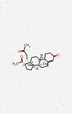 CC(=O)CC[C@]12CC[C@H]3[C@@H](CCC4=CC(=O)CC[C@@]43C)[C@@H]1CC[C@@H]2C(C)=O